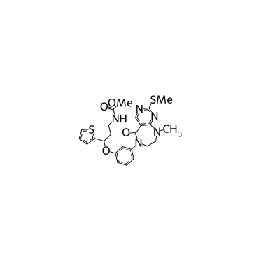 COC(=O)NCCC(Oc1cccc(N2CCN(C)c3nc(SC)ncc3C2=O)c1)c1cccs1